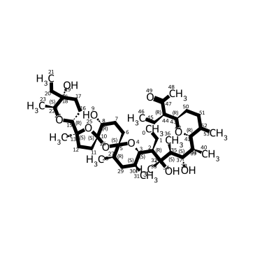 CC[C@H]([C@H]1O[C@]2(CC[C@@H](O)[C@]3(CC[C@@](C)([C@H]4CC[C@](O)(CC)[C@H](C)O4)O3)O2)[C@H](C)C[C@@H]1C)[C@@](C)(O)[C@@H](C)[C@@H](O)[C@H](C)[C@@H]1O[C@@H]([C@@H](CC)C(C)=O)CCC1C